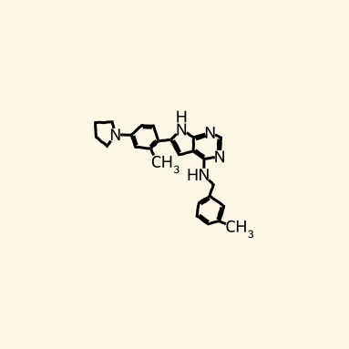 Cc1cccc(CNc2ncnc3[nH]c(-c4ccc(N5CCCC5)cc4C)cc23)c1